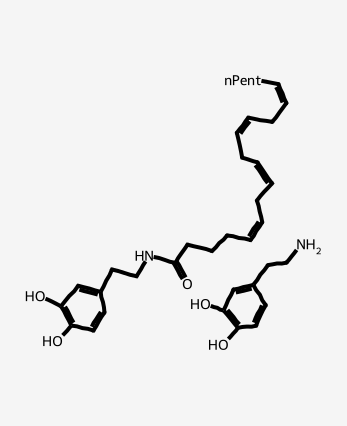 CCCCC/C=C\C/C=C\C/C=C\C/C=C\CCCC(=O)NCCc1ccc(O)c(O)c1.NCCc1ccc(O)c(O)c1